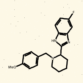 COc1ccc(CN2CCCCC2c2nc3cc(F)ccc3[nH]2)cc1